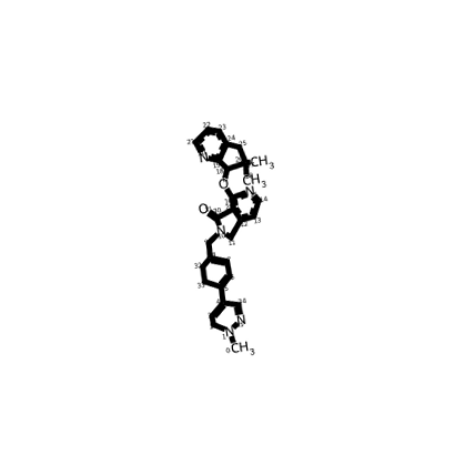 CN1CC=C(C2=CC=C(CN3Cc4ccnc(OC5c6ncccc6CC5(C)C)c4C3=O)CC2)C=N1